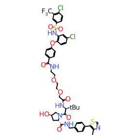 Cc1ncsc1-c1ccc(CNC(=O)[C@@H]2C[C@@H](O)CN2C(=O)[C@@H](NC(=O)COCCOCCNC(=O)c2ccc(Oc3ccc(Cl)cc3NS(=O)(=O)c3ccc(Cl)c(C(F)(F)F)c3)cc2)C(C)(C)C)cc1